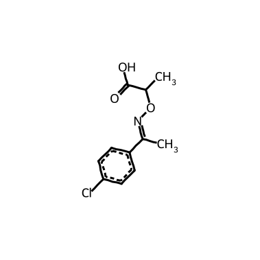 CC(=NOC(C)C(=O)O)c1ccc(Cl)cc1